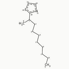 [CH2]C(CCCCCCCC)c1nccs1